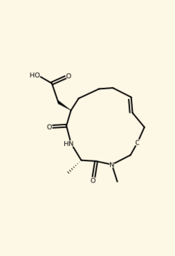 C[C@@H]1NC(=O)[C@@H](CC(=O)O)CCC/C=C/CCCN(C)C1=O